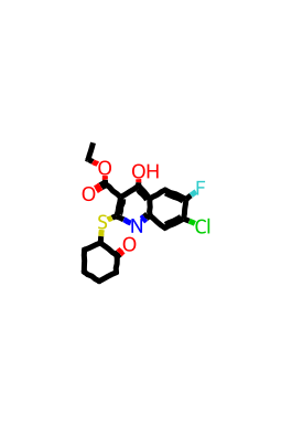 CCOC(=O)c1c(SC2CCCCC2=O)nc2cc(Cl)c(F)cc2c1O